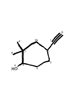 C#CC1CCC(O)C(C)(C)C1